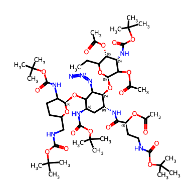 CCC1O[C@H](O[C@@H]2C(N=[N+]=[N-])C(O[C@H]3OC(CNC(=O)OC(C)(C)C)CCC3NC(=O)OC(C)(C)C)[C@H](NC(=O)OC(C)(C)C)C[C@H]2NC(=O)[C@H](CCNC(=O)OC(C)(C)C)OC(C)=O)C(OC(C)=O)[C@@H](NC(=O)OC(C)(C)C)[C@H]1OC(C)=O